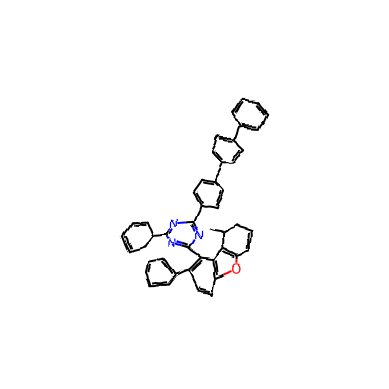 CC1CC=Cc2oc3ccc(-c4ccccc4)c(-c4nc(-c5ccc(-c6ccc(-c7ccccc7)cc6)cc5)nc(C5C=CC=CC5)n4)c3c21